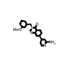 COc1cccc(Cn2cnc3cc(-c4ccnc(N)c4)ccc3c2=O)c1